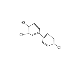 [O]c1ccc(-c2ccc(Cl)cc2)cc1Cl